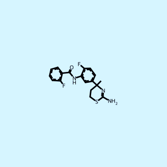 CC1(c2ccc(F)c(NC(=O)c3ccccc3F)c2)CCSC(N)=N1